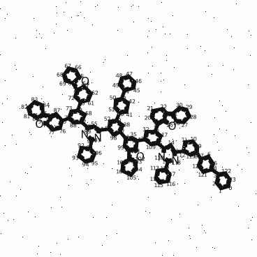 c1ccc(-c2ccc(-c3cccc(-c4cc(-c5cc(-c6cccc7c6oc6ccccc67)cc(-c6cc(-c7cc(-c8ccc(-c9ccccc9)cc8)cc(-c8cc(-c9cc(-c%10ccc%11oc%12ccccc%12c%11c%10)cc(-c%10ccc%11oc%12ccccc%12c%11c%10)c9)nc(-c9ccccc9)n8)c7)cc7c6oc6ccccc67)c5)nc(-c5ccccc5)n4)c3)cc2)cc1